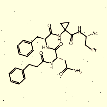 CC(=O)[C@H](CC(C)C)NC(=O)C1(NC(=O)[C@H](Cc2ccccc2)NC(=O)[C@H](CC(N)=O)NC(=O)CCc2ccccc2)CC1